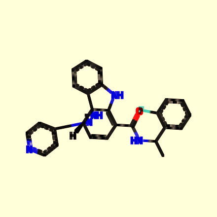 CC(NC(=O)C1=C2Nc3ccccc3C23NCN(c2ccncc2)[C@@H]3C=C1)c1ccccc1F